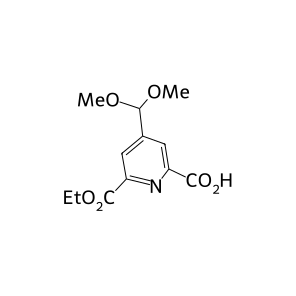 CCOC(=O)c1cc(C(OC)OC)cc(C(=O)O)n1